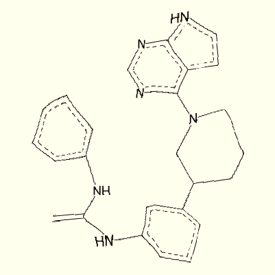 C=C(Nc1ccccc1)Nc1cccc(C2CCCN(c3ncnc4[nH]ccc34)C2)c1